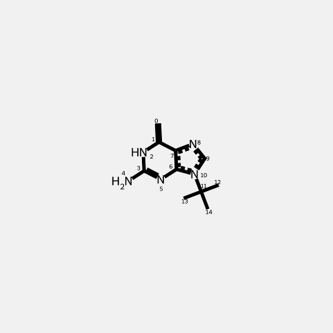 C=C1NC(N)=Nc2c1ncn2C(C)(C)C